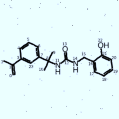 C=C(C)c1cccc(C(C)(C)NC(=O)NCc2ccccc2O)c1